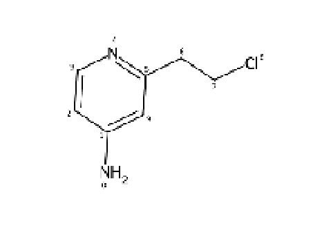 Nc1ccnc(CCCl)c1